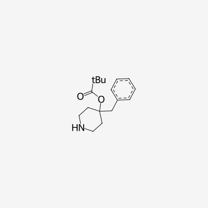 CC(C)(C)C(=O)OC1(Cc2ccccc2)CCNCC1